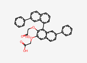 O=C(O)COc1cc2ccc(-c3ccccc3)cc2c(-c2cccc3ccc(-c4ccccc4)cc23)c1OCC(=O)O